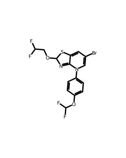 FC(F)COC1N=C2C(=CC(Br)=CN2c2ccc(OC(F)F)cc2)S1